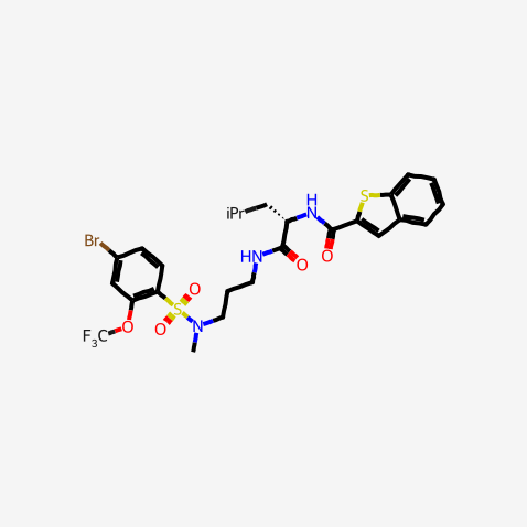 CC(C)C[C@H](NC(=O)c1cc2ccccc2s1)C(=O)NCCCN(C)S(=O)(=O)c1ccc(Br)cc1OC(F)(F)F